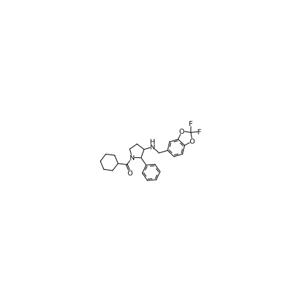 O=C(C1CCCCC1)N1CCC(NCc2ccc3c(c2)OC(F)(F)O3)C1c1ccccc1